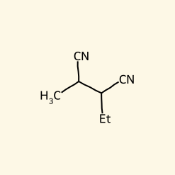 CCC(C#N)C(C)C#N